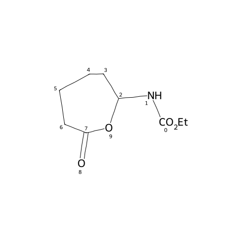 CCOC(=O)NC1CCCCC(=O)O1